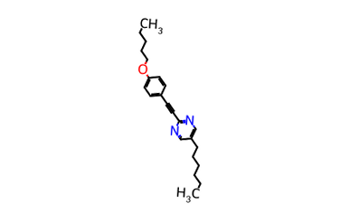 CCCCCCc1cnc(C#Cc2ccc(OCCCCC)cc2)nc1